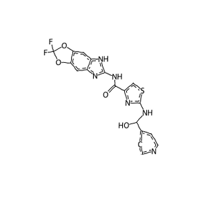 O=C(Nc1nc2cc3c(cc2[nH]1)OC(F)(F)O3)c1csc(NC(O)c2ccncc2)n1